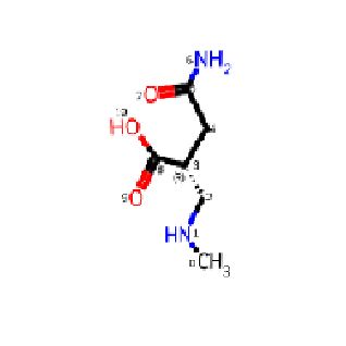 CNC[C@@H](CC(N)=O)C(=O)O